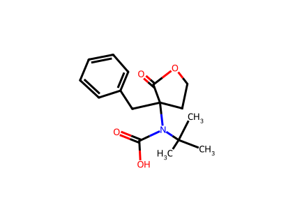 CC(C)(C)N(C(=O)O)C1(Cc2ccccc2)CCOC1=O